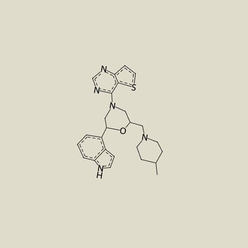 CC1CCN(CC2CN(c3ncnc4ccsc34)CC(c3cccc4[nH]ccc34)O2)CC1